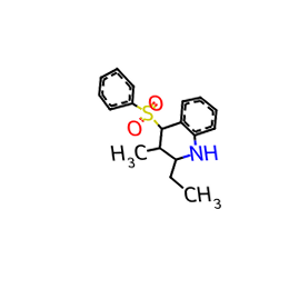 CCC1Nc2ccccc2C(S(=O)(=O)c2ccccc2)C1C